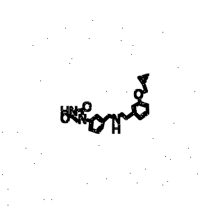 O=C1CN(c2cccc(CNCCc3cccc(OCC4CC4)c3)c2)C(=O)N1